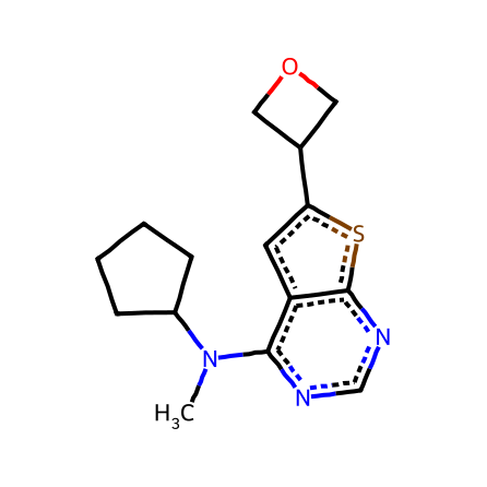 CN(c1ncnc2sc(C3COC3)cc12)C1CCCC1